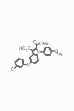 COC(=O)c1c(C(=O)O)c2cc(Oc3cccc(Cl)c3)ccc2n1-c1ccc(OC(C)C)cc1